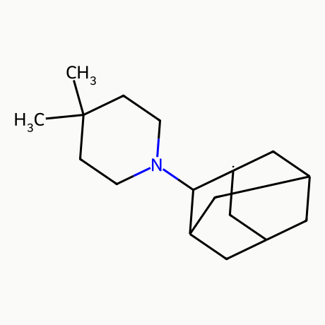 CC1(C)CCN(C2[C]3CC4CC(C3)CC2C4)CC1